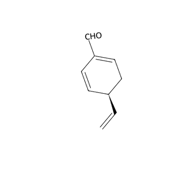 C=C[C@H]1C=CC(C=O)=CC1